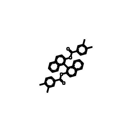 Cc1ccc(C(=O)Oc2ccc3ccccc3c2-c2c(OC(=O)c3ccc(C)c(C)c3)ccc3ccccc23)cc1C